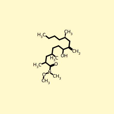 C=C(C[C@H](C)CCCC)C(O)CCC(C)CC(C)C(=O)N(C)OC